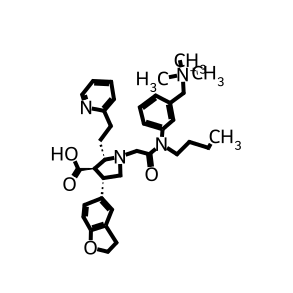 CCCCN(C(=O)CN1C[C@H](c2ccc3c(c2)CCO3)[C@@H](C(=O)O)[C@@H]1CCc1ccccn1)c1cccc(C[N+](C)(C)C)c1